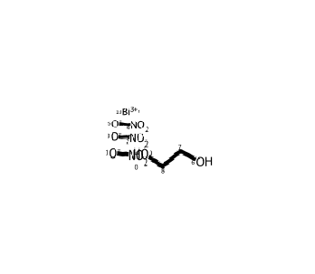 O=[N+]([O-])[O-].O=[N+]([O-])[O-].O=[N+]([O-])[O-].OCCO.[Bi+3]